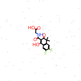 CC1(C)C(=O)C(C(=O)NCC(=O)O)=C(O)c2cc(F)c(F)cc21